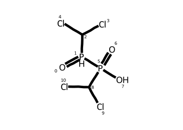 O=[PH](C(Cl)Cl)P(=O)(O)C(Cl)Cl